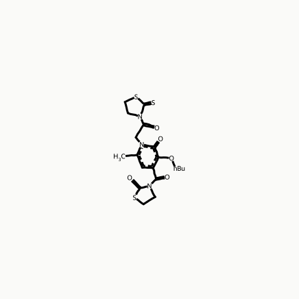 CCCCOc1c(C(=O)N2CCSC2=O)cc(C)n(CC(=O)N2CCSC2=S)c1=O